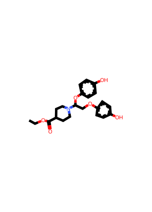 CCOC(=O)C1CCN(C(COc2ccc(O)cc2)Oc2ccc(O)cc2)CC1